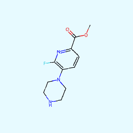 COC(=O)c1ccc(N2CCNCC2)c(F)n1